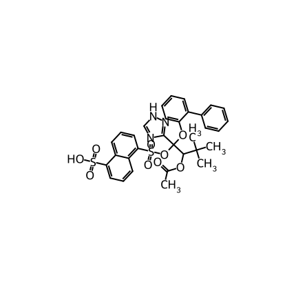 CC(=O)OC(C(C)(C)C)C(Oc1ccccc1-c1ccccc1)(OS(=O)(=O)c1cccc2c(S(=O)(=O)O)cccc12)c1nc[nH]n1